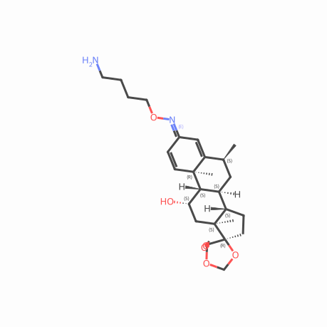 C[C@H]1C[C@@H]2[C@H]([C@@H](O)C[C@@]3(C)[C@H]2CC[C@@]32OCOC23COCO3)[C@@]2(C)C=C/C(=N\OCCCCN)C=C12